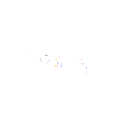 O=C(CC1CCN(S(=O)(=O)c2ccc(Cl)cc2)CC1)NC12CC3CC(CC(C3)C1)C2